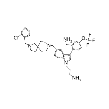 NCCCn1cc(-c2ccc(OC(F)(F)F)cc2CN)c2cc(CN3CCC4(CC3)CCN(Cc3ccccc3Cl)C4)ccc21